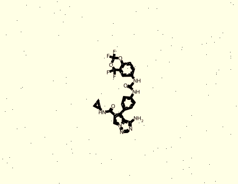 Nc1ncnn2cc(C(=O)NC3CC3)c(-c3ccc(NC(=O)Nc4ccc5c(c4)C(F)(F)OC(F)(F)O5)cc3)c12